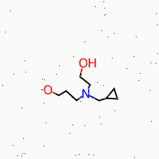 [O]CCCN(CCO)CC1CC1